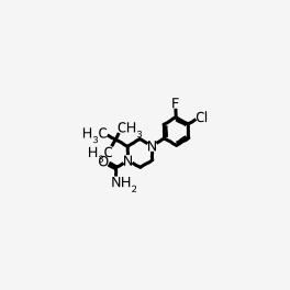 CC(C)(C)C1CN(c2ccc(Cl)c(F)c2)CCN1C(N)=O